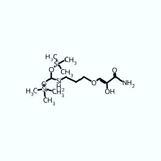 C[Si](C)(C)OC(O[Si](C)(C)C)[SiH2]CCCOC=C(O)C(N)=O